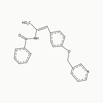 O=C(O)/C(=C/c1ccc(OCc2cccnc2)cc1)NC(=O)c1ccccc1